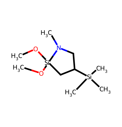 CO[Si]1(OC)CC([Si](C)(C)C)CN1C